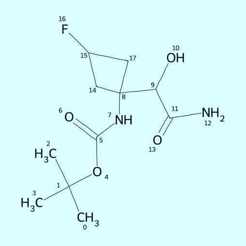 CC(C)(C)OC(=O)NC1(C(O)C(N)=O)CC(F)C1